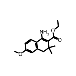 CCOC(=O)C1=C(N)c2ccc(OC)cc2CC1(C)C